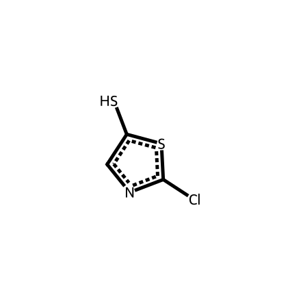 Sc1cnc(Cl)s1